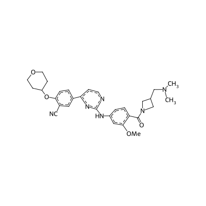 COc1cc(Nc2nccc(-c3ccc(OC4CCOCC4)c(C#N)c3)n2)ccc1C(=O)N1CC(CN(C)C)C1